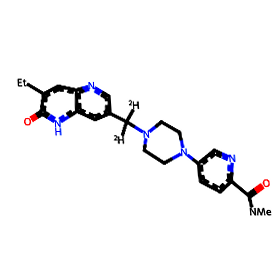 [2H]C([2H])(c1cnc2cc(CC)c(=O)[nH]c2c1)N1CCN(c2ccc(C(=O)NC)nc2)CC1